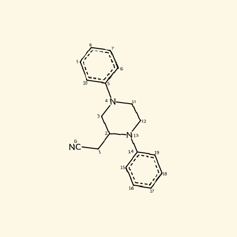 N#CCC1CN(c2ccccc2)CCN1c1ccccc1